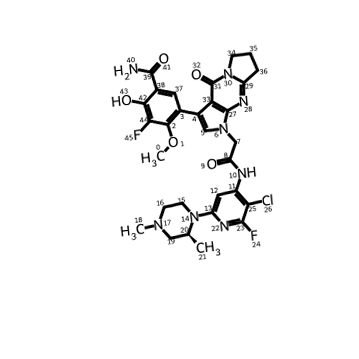 COc1c(-c2cn(CC(=O)Nc3cc(N4CCN(C)C[C@@H]4C)nc(F)c3Cl)c3nc4n(c(=O)c23)CCC4)cc(C(N)=O)c(O)c1F